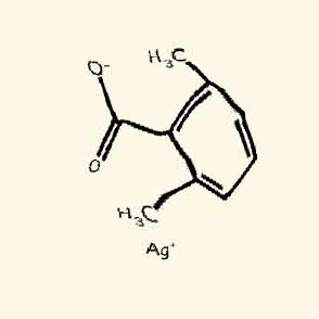 Cc1cccc(C)c1C(=O)[O-].[Ag+]